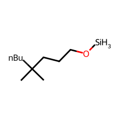 CCCCC(C)(C)CCCO[SiH3]